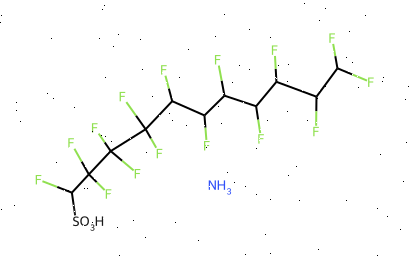 N.O=S(=O)(O)C(F)C(F)(F)C(F)(F)C(F)(F)C(F)C(F)C(F)C(F)C(F)C(F)C(F)F